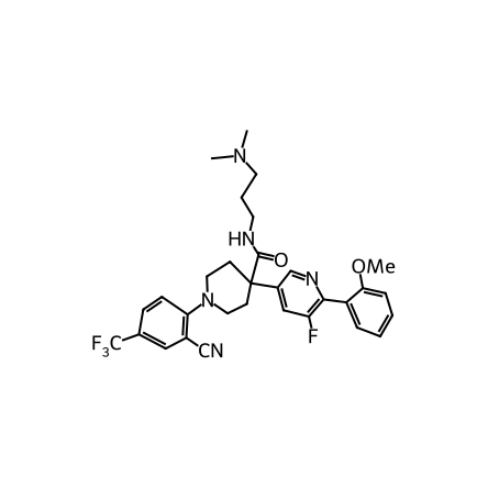 COc1ccccc1-c1ncc(C2(C(=O)NCCCN(C)C)CCN(c3ccc(C(F)(F)F)cc3C#N)CC2)cc1F